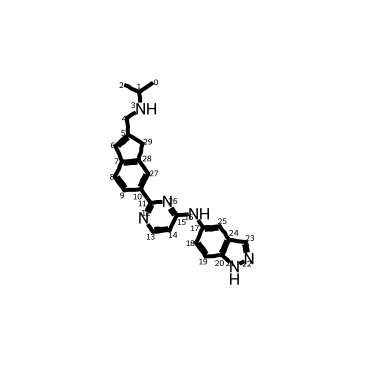 CC(C)NCC1=Cc2ccc(-c3nccc(Nc4ccc5[nH]ncc5c4)n3)cc2C1